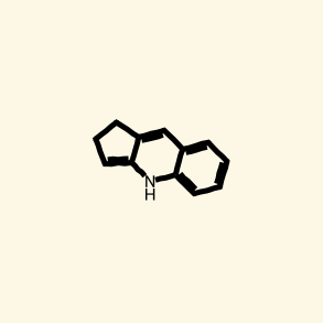 C1=C2CCC=C2Nc2ccccc21